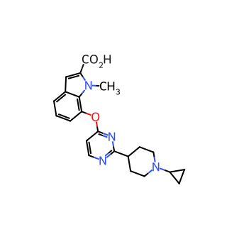 Cn1c(C(=O)O)cc2cccc(Oc3ccnc(C4CCN(C5CC5)CC4)n3)c21